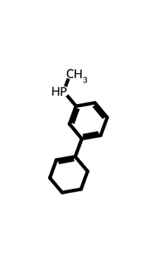 CPc1cccc(C2=CCCCC2)c1